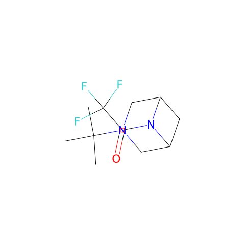 CC(C)(C)N1CC2CC(C1)N2C(=O)C(F)(F)F